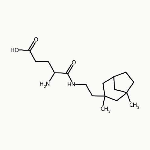 CC1(CCNC(=O)C(N)CCC(=O)O)CC2CCC(C)(C2)C1